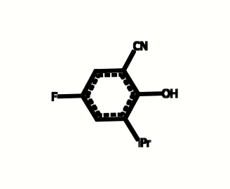 CC(C)c1cc(F)cc(C#N)c1O